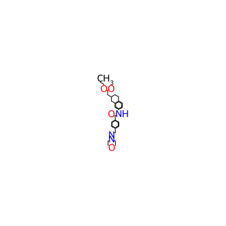 CCCOC(=O)CC1CCc2ccc(NC(=O)c3ccc(/C=N/N4CCOCC4)cc3)cc2C1